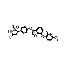 COc1ccc(Oc2cccc3c2OC[C@H]3Oc2ccc(C3CC(=O)NS3(=O)=O)cc2)c(C)n1